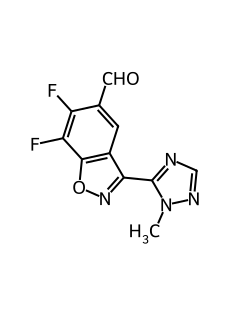 Cn1ncnc1-c1noc2c(F)c(F)c(C=O)cc12